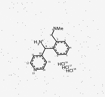 CNCc1ccccc1C(N)c1ccncc1.Cl.Cl.Cl